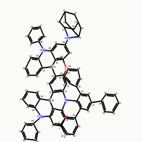 CC(C)(C)c1cc2c3c(c1)N(c1c(-c4ccccc4)cc(-c4ccccc4)cc1-c1ccccc1)c1cc4c(cc1B3c1ccccc1N2c1ccccc1)B1c2ccccc2N(c2ccccc2)c2cc(N3C5CC6CC(C5)CC3C6)cc(c21)O4